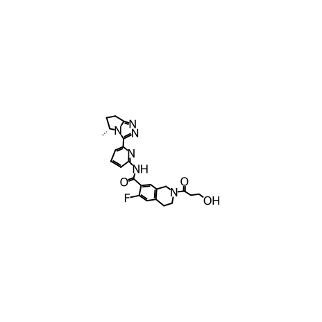 C[C@@H]1CCc2nnc(-c3cccc(NC(=O)c4cc5c(cc4F)CCN(C(=O)CCO)C5)n3)n21